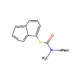 CCCCCN(C)C(=O)Sc1cccc2ccccc12